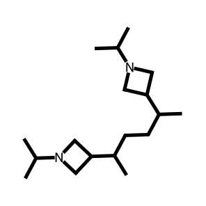 CC(CCC(C)C1CN(C(C)C)C1)C1CN(C(C)C)C1